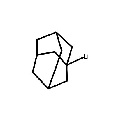 [Li][C]12CC3CC(CC(C3)C1)C2